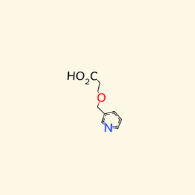 O=C(O)CCOCc1cccnc1